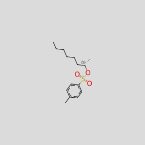 CCCCCC[C@H](C)OS(=O)(=O)c1ccc(C)cc1